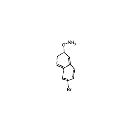 NOC1C=c2ccc(Br)cc2=CC1